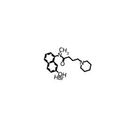 Br.CN(C(=O)CCCN1CCCCC1)c1cccc2ccc(O)cc12